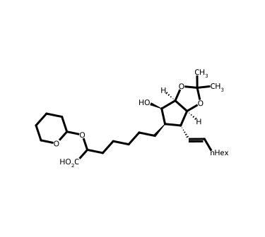 CCCCCCC=C[C@@H]1[C@@H](CCCCCC(OC2CCCCO2)C(=O)O)[C@@H](O)[C@H]2OC(C)(C)O[C@@H]12